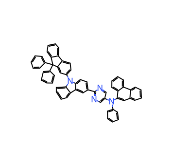 c1ccc(N(c2cnc(-c3ccc4c(c3)c3ccccc3n4-c3ccc4c(c3)C(c3ccccc3)(c3ccccc3)c3ccccc3-4)nc2)c2cc3ccccc3c3ccccc23)cc1